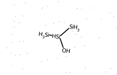 O[SiH]([SiH3])[SiH3]